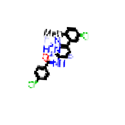 C=C(/C=C\C(=C(N)N)c1cc(Cl)ccc1OC)NC(=O)c1ccc(Cl)cc1